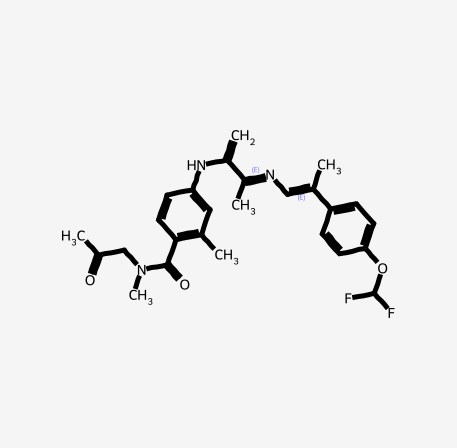 C=C(Nc1ccc(C(=O)N(C)CC(C)=O)c(C)c1)/C(C)=N/C=C(\C)c1ccc(OC(F)F)cc1